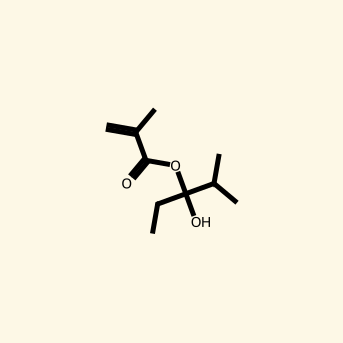 C=C(C)C(=O)OC(O)(CC)[C](C)C